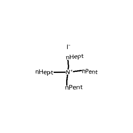 CCCCCCC[N+](CCCCC)(CCCCC)CCCCCCC.[I-]